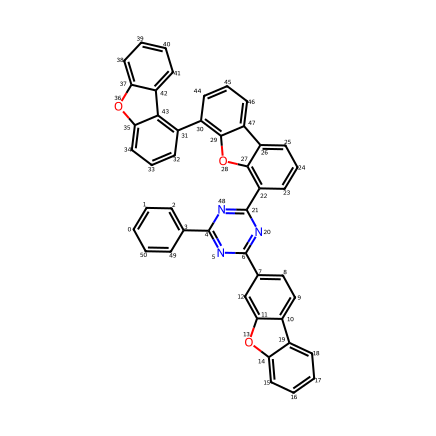 c1ccc(-c2nc(-c3ccc4c(c3)oc3ccccc34)nc(-c3cccc4c3oc3c(-c5cccc6oc7ccccc7c56)cccc34)n2)cc1